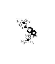 CC(C)(C)OC(=O)N1CCC2(CC1)CCC(F)(F)[C@H]2NSC(C)(C)C